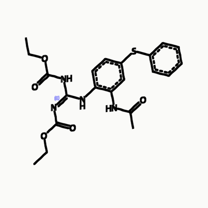 CCOC(=O)/N=C(/NC(=O)OCC)Nc1ccc(Sc2ccccc2)cc1NC(C)=O